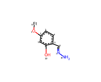 CCOc1ccc(C=NN)c(O)c1